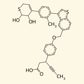 CC#CC(CC(=O)O)c1ccc(OCc2ccc3scc(-c4ccc(C5=CCSC(O)C5O)cc4C)c3c2)cc1